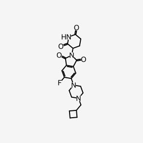 O=C1CCC(N2C(=O)c3cc(F)c(N4CCN(CC5CCC5)CC4)cc3C2=O)C(=O)N1